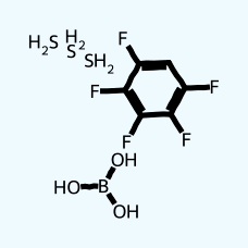 Fc1cc(F)c(F)c(F)c1F.OB(O)O.S.S.S